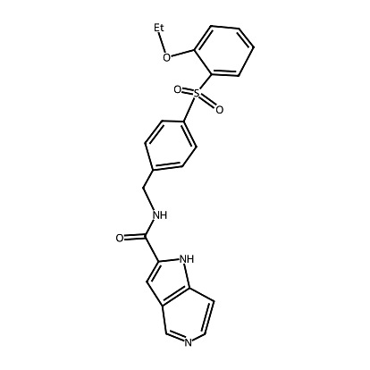 CCOc1ccccc1S(=O)(=O)c1ccc(CNC(=O)c2cc3cnccc3[nH]2)cc1